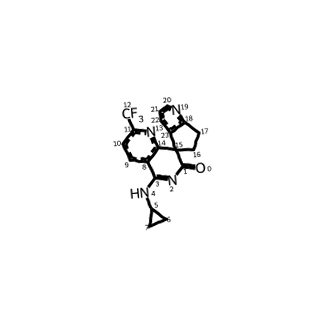 O=C1N=C(NC2CC2)c2ccc(C(F)(F)F)nc2C12CCc1ncccc12